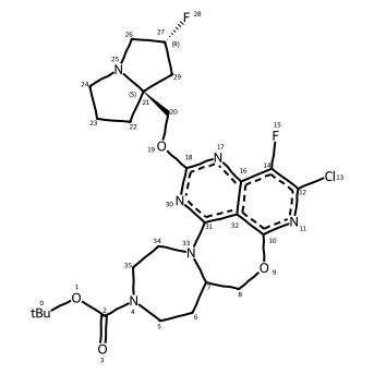 CC(C)(C)OC(=O)N1CCC2COc3nc(Cl)c(F)c4nc(OC[C@@]56CCCN5C[C@H](F)C6)nc(c34)N2CC1